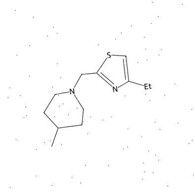 CCc1csc(CN2CCC(C)CC2)n1